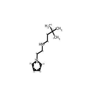 CC(C)(C)CCNCCn1cccc1